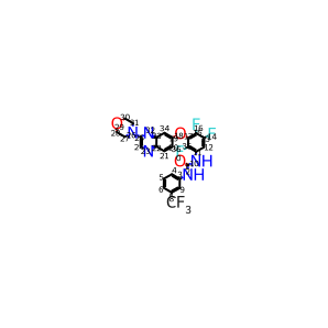 O=C(Nc1cccc(C(F)(F)F)c1)Nc1cc(F)c(F)c(Oc2ccc3ncc(N4CCOCC4)nc3c2)c1F